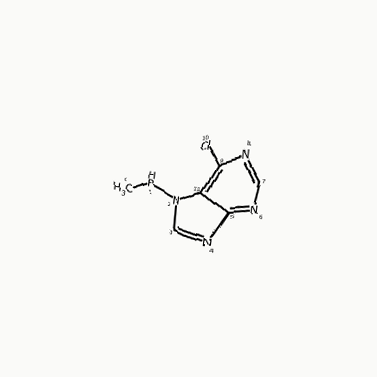 CPn1cnc2ncnc(Cl)c21